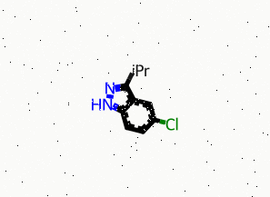 CC(C)c1n[nH]c2ccc(Cl)cc12